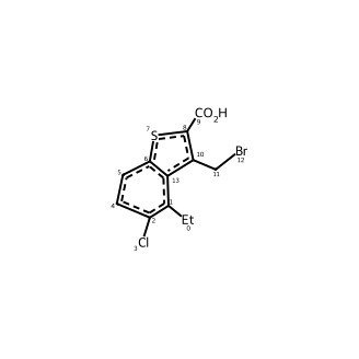 CCc1c(Cl)ccc2sc(C(=O)O)c(CBr)c12